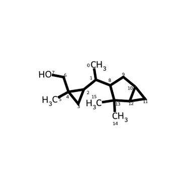 CC(C1CC1(C)CO)C1CC2CC2C1(C)C